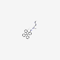 C/C=C\C=C/C/C(=C/N=C(\NC)c1cccc2c1-c1ccccc1C2(c1ccccc1)c1ccccc1)CC